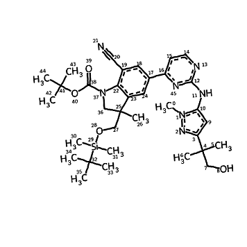 Cn1nc(C(C)(C)CO)cc1Nc1nccc(-c2cc(C#N)c3c(c2)C(C)(CO[Si](C)(C)C(C)(C)C)CN3C(=O)OC(C)(C)C)n1